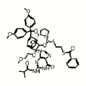 COCCO[C@@]1(n2cnc3c(=O)[nH]c(NC(=O)C(C)C)nc32)CO[C@H](COC(c2ccccc2)(c2ccc(OC)cc2)c2ccc(OC)cc2)C1OP(SCCSC(=O)c1ccccc1)N1CCCC1